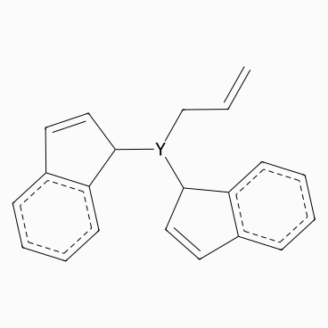 C=C[CH2][Y]([CH]1C=Cc2ccccc21)[CH]1C=Cc2ccccc21